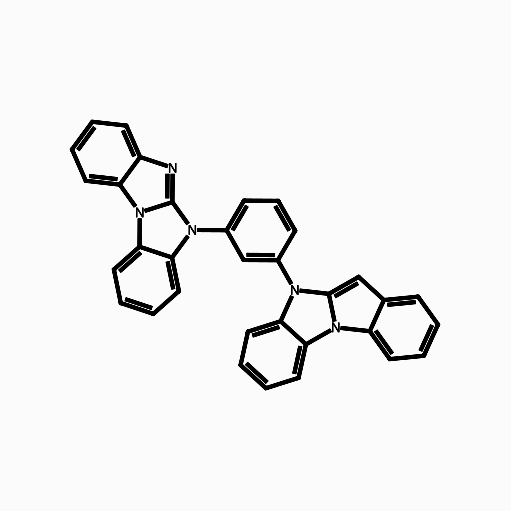 c1cc(-n2c3ccccc3n3c4ccccc4cc23)cc(-n2c3ccccc3n3c4ccccc4nc23)c1